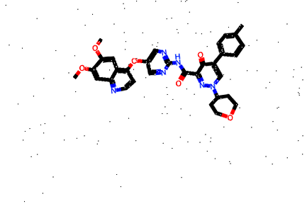 COc1cc2nccc(Oc3cnc(NC(=O)c4nn(C5CCOCC5)cc(-c5ccc(C)cc5)c4=O)nc3)c2cc1OC